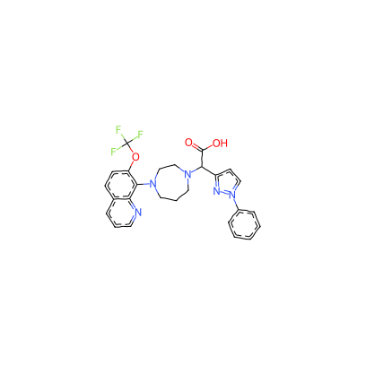 O=C(O)C(c1ccn(-c2ccccc2)n1)N1CCCN(c2c(OC(F)(F)F)ccc3cccnc23)CC1